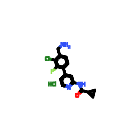 Cl.NCc1ccc(-c2ccnc(NC(=O)C3CC3)c2)c(F)c1Cl